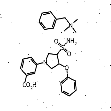 C[N+](C)(C)Cc1ccccc1.NS(=O)(=O)C1CN(c2cccc(C(=O)O)c2)CC1Oc1ccccc1